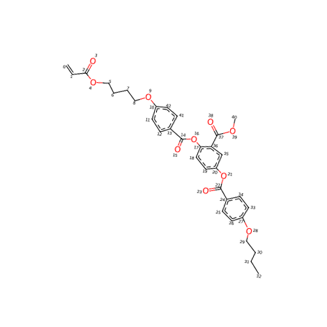 C=CC(=O)OCCCCOc1ccc(C(=O)Oc2ccc(OC(=O)c3ccc(OCCCC)cc3)cc2C(=O)OC)cc1